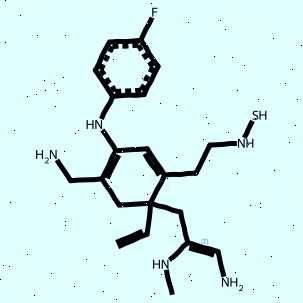 C=CC1(C/C(=C/N)NC)CC(CN)=C(Nc2ccc(F)cc2)C=C1CCNS